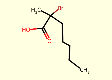 CCCCCC(C)(Br)C(=O)O